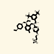 CCN(C[C@H]1CC[C@H](CC)CC1)c1ccc(C)cc1CN(c1ncc(OCCS(C)(=O)=O)cn1)[C@@H](C)c1cc(C(F)(F)F)cc(C(F)(F)F)c1